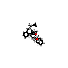 O=C(C1CC1)N1Cc2ccccc2C2(CCN(C3CC4CCC(C3)N4C(=O)O[C@H]3CCOC3)CC2)C1